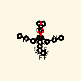 Fc1c(F)c(F)c(-c2cc(-n3c4ccc(-c5ccc(-c6ccccc6)nc5)cc4c4cc(-c5ccc(-c6ccccc6)nc5)ccc43)c(-n3c4ccc(-c5ccc(-c6ccccc6)nc5)cc4c4cc(-c5ccc(-c6ccccc6)nc5)ccc43)cc2C(F)(F)F)c(F)c1F